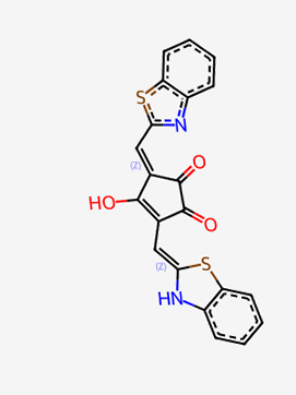 O=C1C(=O)/C(=C\c2nc3ccccc3s2)C(O)=C1/C=C1/Nc2ccccc2S1